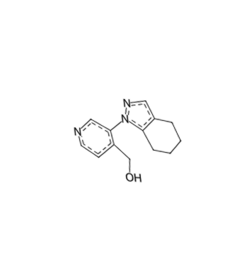 OCc1ccncc1-n1ncc2c1CCCC2